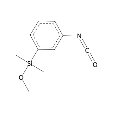 CO[Si](C)(C)c1cccc(N=C=O)c1